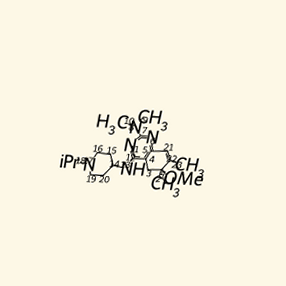 CO[C@@]1(C)Cc2c(nc(N(C)C)nc2NC2CCN(C(C)C)CC2)C=C1C